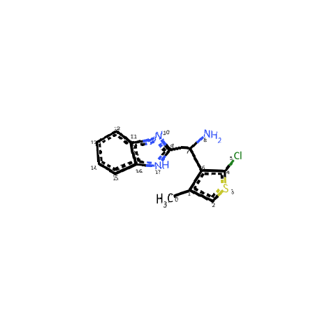 Cc1csc(Cl)c1C(N)c1nc2ccccc2[nH]1